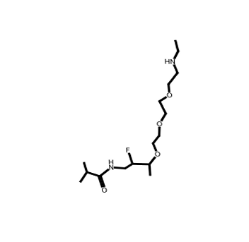 CCNCCOCCOCCOC(C)C(F)CNC(=O)C(C)C